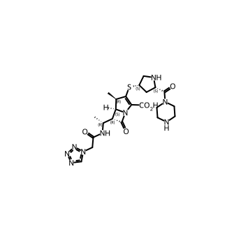 C[C@@H](NC(=O)Cn1cnnn1)[C@H]1C(=O)N2C(C(=O)O)=C(S[C@@H]3CN[C@H](C(=O)N4CCNCC4)C3)[C@H](C)[C@H]12